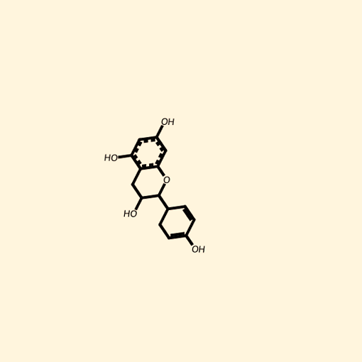 OC1=CCC(C2Oc3cc(O)cc(O)c3CC2O)C=C1